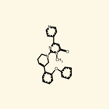 Cn1c(N2CCC=C(c3ccccc3Oc3ccccc3)C2)nc(-c2ccncc2)cc1=O